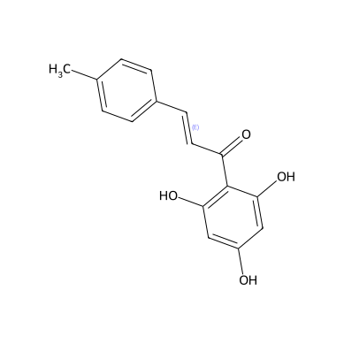 Cc1ccc(/C=C/C(=O)c2c(O)cc(O)cc2O)cc1